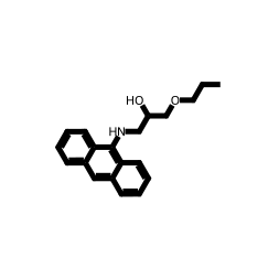 CCCOCC(O)CNc1c2ccccc2cc2ccccc12